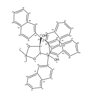 CC1(C)OC(C(O)(c2ccc3ccccc3c2)c2ccc3ccccc3c2)[C@H](C(O)(c2ccc3ccccc3c2)c2ccc3ccccc3c2)O1